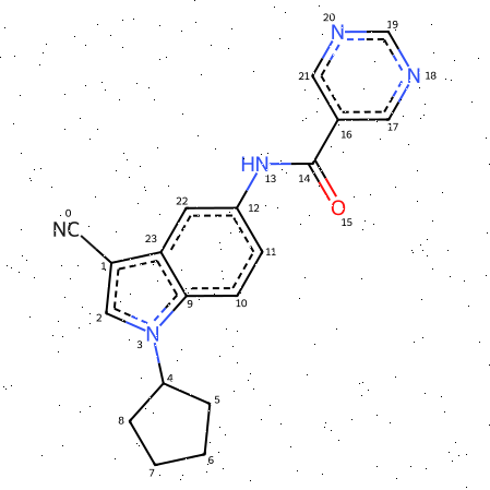 N#Cc1cn(C2CCCC2)c2ccc(NC(=O)c3cncnc3)cc12